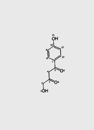 O=C(CO)CC(=O)c1ccc(O)cc1